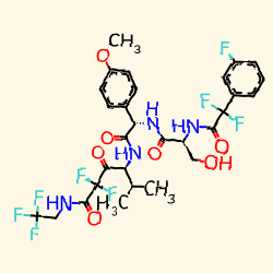 COc1ccc([C@H](NC(=O)[C@H](CO)NC(=O)C(F)(F)c2cccc(F)c2)C(=O)N[C@H](C(=O)C(F)(F)C(=O)NCC(F)(F)F)C(C)C)cc1